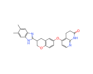 Cc1cc2nc(C3COc4ccc(Oc5ccnc6c5CCC(=O)N6)cc4C3)[nH]c2cc1C